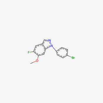 COc1cc2c(cnn2-c2ccc(Br)cc2)cc1F